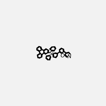 c1ccc([Si](c2ccccc2)(c2cccc(-c3cccc4c3oc3cnccc34)c2)c2ccc3c4ccccc4c4ccccc4c3c2)cc1